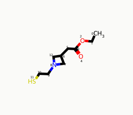 CCOC(=O)CC1CN(CCS)C1